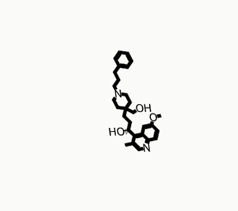 COc1ccc2ncc(C)c([C@H](O)CCC3(CO)CCN(CCCc4ccccc4)CC3)c2c1